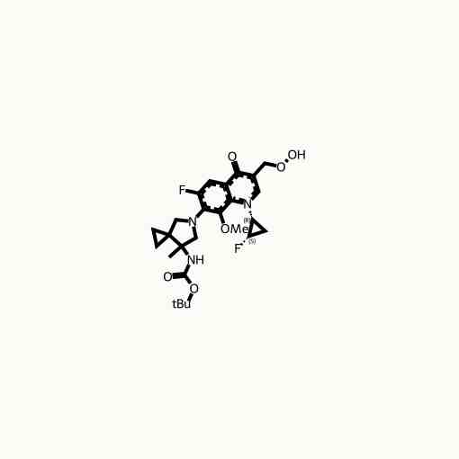 COc1c(N2CC3(CC3)C(C)(NC(=O)OC(C)(C)C)C2)c(F)cc2c(=O)c(COO)cn([C@@H]3C[C@@H]3F)c12